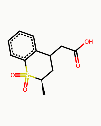 C[C@@H]1CC(CC(=O)O)c2ccccc2S1(=O)=O